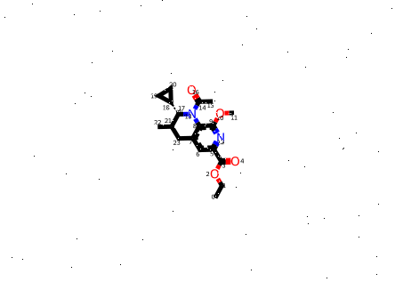 CCOC(=O)c1cc2c(c(OC)n1)N(C(C)=O)[C@@H](C1CC1)C(C)C2